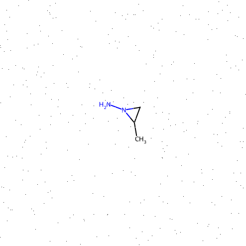 CC1CN1N